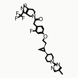 Cc1cnc(N2CCC([C@H]3C[C@H]3CCOc3ccc(CC(=O)N4CCc5c(c(C(F)(F)F)nn5C)C4)c(F)c3)CC2)nc1